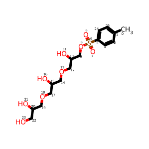 Cc1ccc(S(=O)(=O)OCC(O)COCC(O)COCC(O)CO)cc1